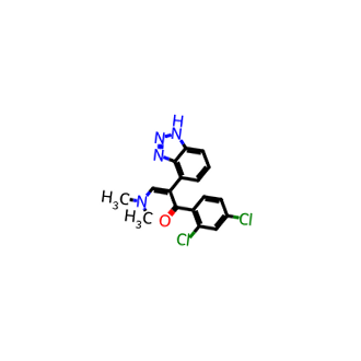 CN(C)C=C(C(=O)c1ccc(Cl)cc1Cl)c1cccc2[nH]nnc12